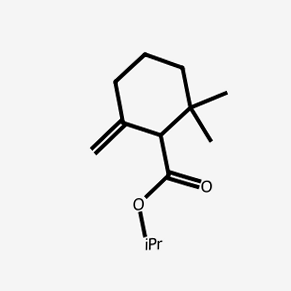 C=C1CCCC(C)(C)C1C(=O)OC(C)C